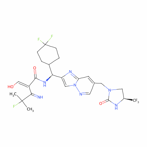 CC(C)(F)C(=N)/C(=C\O)C(=O)N[C@H](c1cn2ncc(CN3C[C@@H](C(F)(F)F)NC3=O)cc2n1)C1CCC(F)(F)CC1